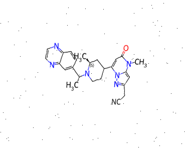 CC(c1ccc2nccnc2c1)N1CCC(c2cc(=O)n(C)c3cc(CC#N)nn23)C[C@@H]1C